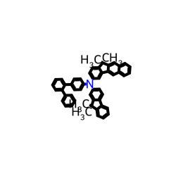 CC1(C)c2ccccc2-c2ccc(N(c3ccc(-c4ccccc4-c4ccccc4)cc3)c3ccc4c(c3)-c3cc5ccccc5cc3C4(C)C)cc21